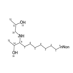 CCCCCCCCCCCCCCCCC(NCC(C)O)C(C)O